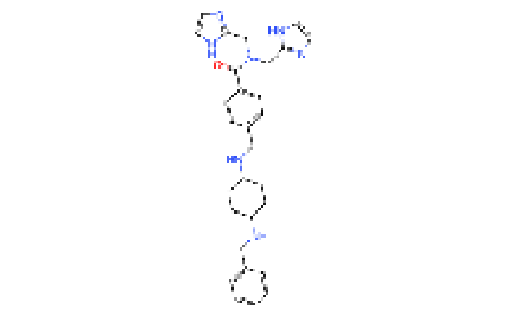 O=C(c1ccc(CNC2CCC(NCc3ccccc3)CC2)cc1)N(Cc1ncc[nH]1)Cc1ncc[nH]1